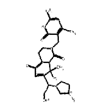 Cc1cc(C)c(CN2CCC3=C(Cl)C=C(C(CO)N4CC[C@H](F)C4)C(C)(Cl)C3C2=O)c(=O)[nH]1